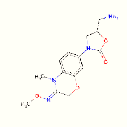 CON=C1COc2cc(N3CC(CN)OC3=O)ccc2N1C